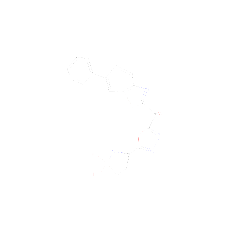 O=C(c1nnc(C2CCS(O)(O)N2)o1)c1nc2ccc(-c3ccccc3)cc2s1